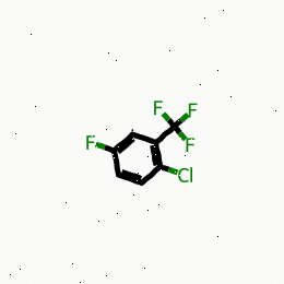 Fc1[c]c(C(F)(F)F)c(Cl)cc1